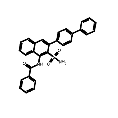 NS(=O)(=O)c1c(-c2ccc(-c3ccccc3)cc2)cc2ccccc2c1NC(=O)c1ccccc1